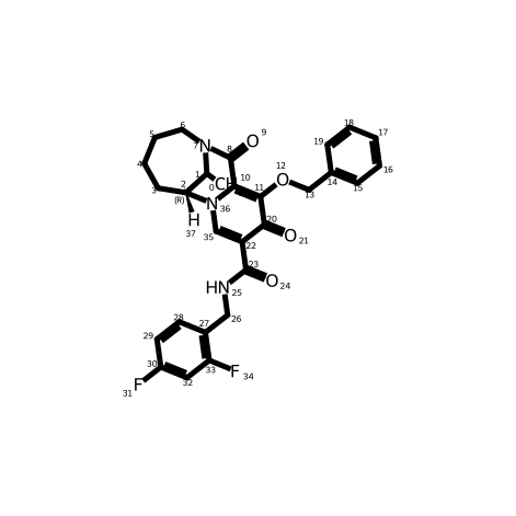 CC1[C@H]2CCCCN1C(=O)c1c(OCc3ccccc3)c(=O)c(C(=O)NCc3ccc(F)cc3F)cn12